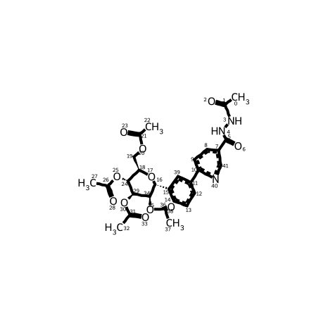 CC(=O)NNC(=O)c1ccc(-c2cccc([C@H]3O[C@H](COC(C)=O)[C@@H](OC(C)=O)[C@H](OC(C)=O)[C@@H]3OC(C)=O)c2)nc1